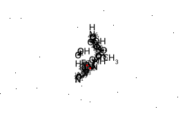 CCc1cc(NC(=O)c2ncc(-c3cn(Cc4cccnc4)nc3C(F)(F)F)n2C)ccc1C(=O)N1CCN(C(=O)C2(O)CCNCC2)CC1.O=CO